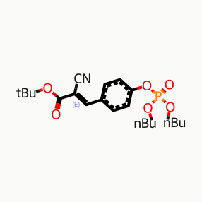 CCCCOP(=O)(OCCCC)Oc1ccc(/C=C(\C#N)C(=O)OC(C)(C)C)cc1